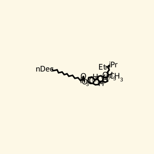 CCCCCCCCCCCCCCCCCCCCCC(=O)OC1CC[C@@]2(C)C(CC[C@H]3[C@@H]4CC[C@H]([C@H](C)CC[C@@H](CC)C(C)C)[C@@]4(C)CC[C@@H]32)C1